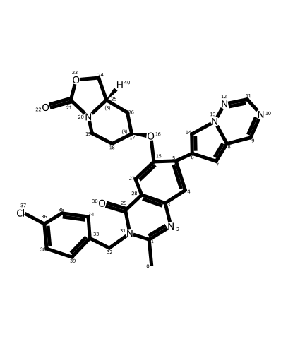 Cc1nc2cc(-c3cc4cncnn4c3)c(O[C@H]3CCN4C(=O)OC[C@@H]4C3)cc2c(=O)n1Cc1ccc(Cl)cc1